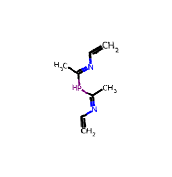 C=CN=C(C)PC(C)=NC=C